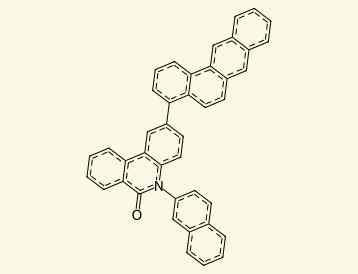 O=c1c2ccccc2c2cc(-c3cccc4c3ccc3cc5ccccc5cc34)ccc2n1-c1ccc2ccccc2c1